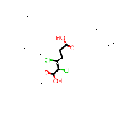 O=C(O)CCC(Cl)C(Cl)C(=O)O